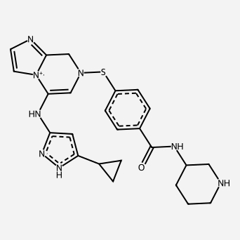 O=C(NC1CCCNC1)c1ccc(SN2C=C(Nc3cc(C4CC4)[nH]n3)[N+]3C=CN=C3C2)cc1